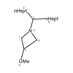 CCCCCCCC(CCCCCCC)N1CC(OC)C1